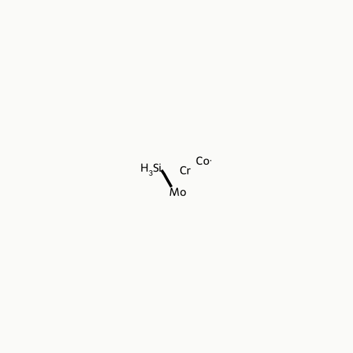 [Co].[Cr].[SiH3][Mo]